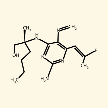 C=Nc1c(/C=C(\C)F)nc(N)nc1N[C@@](C)(CO)CCCC